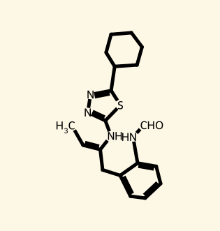 C/C=C(/Cc1ccccc1NC=O)Nc1nnc(C2CCCCC2)s1